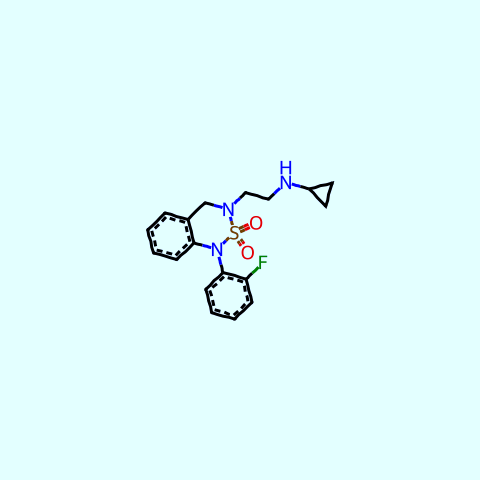 O=S1(=O)N(CCNC2CC2)Cc2ccccc2N1c1ccccc1F